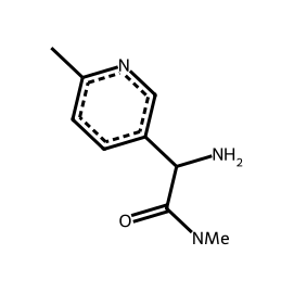 CNC(=O)C(N)c1ccc(C)nc1